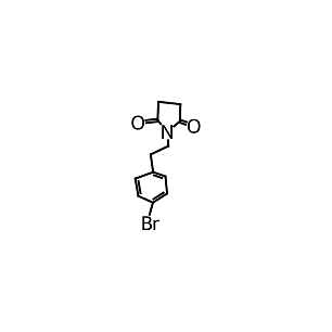 O=C1CCC(=O)N1CCc1ccc(Br)cc1